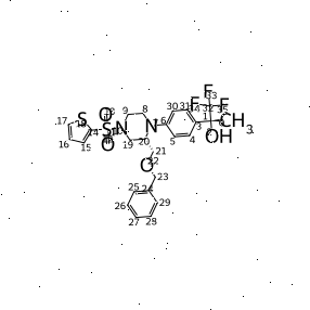 C[C@@](O)(c1ccc(N2CCN(S(=O)(=O)c3cccs3)C[C@H]2COCc2ccccc2)cc1)C(F)(F)F